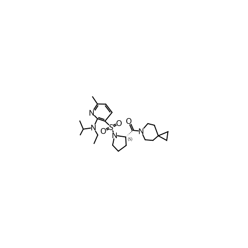 CCN(c1nc(C)ccc1S(=O)(=O)N1CCC[C@H]1C(=O)N1CCC2(CC1)CC2)C(C)C